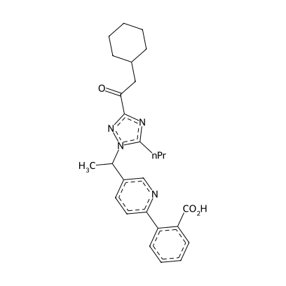 CCCc1nc(C(=O)CC2CCCCC2)nn1C(C)c1ccc(-c2ccccc2C(=O)O)nc1